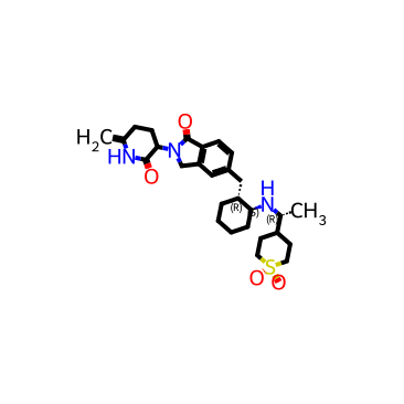 C=C1CCC(N2Cc3cc(C[C@H]4CCCC[C@@H]4N[C@H](C)C4CCS(=O)(=O)CC4)ccc3C2=O)C(=O)N1